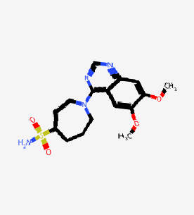 COc1cc2ncnc(N3CCCC(S(N)(=O)=O)CC3)c2cc1OC